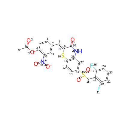 CC(=O)Oc1ccc(/C=C2\Sc3ccc(S(=O)(=O)Cc4c(F)cccc4F)cc3NC2=O)cc1[N+](=O)[O-]